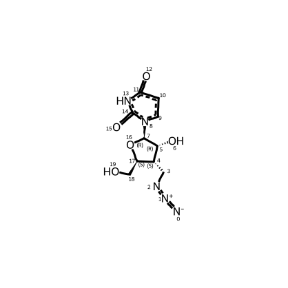 [N-]=[N+]=NC[C@H]1[C@@H](O)[C@H](n2ccc(=O)[nH]c2=O)O[C@@H]1CO